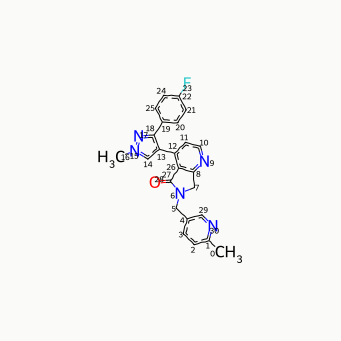 Cc1ccc(CN2Cc3nccc(-c4cn(C)nc4-c4ccc(F)cc4)c3C2=O)cn1